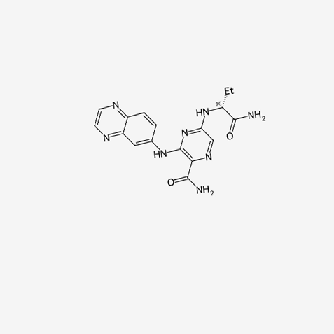 CC[C@@H](Nc1cnc(C(N)=O)c(Nc2ccc3nccnc3c2)n1)C(N)=O